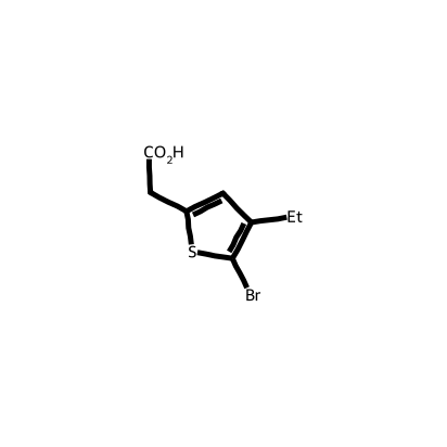 CCc1cc(CC(=O)O)sc1Br